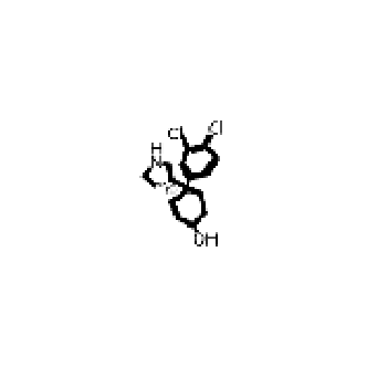 O[C@H]1CC[C@](c2ccc(Cl)c(Cl)c2)([C@@H]2CCNC2)CC1